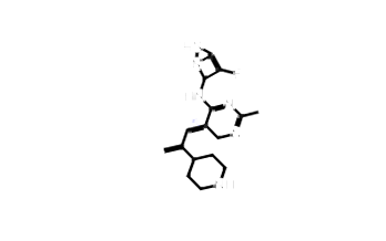 C=C(/C=C1\CN=C(C)N=C1NC1C(F)=C2NN21)C1CCNCC1